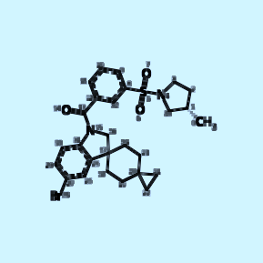 C[C@H]1CCN(S(=O)(=O)c2cccc(C(=O)N3CC4(CCC5(CC5)CC4)c4cc(Br)ccc43)c2)C1